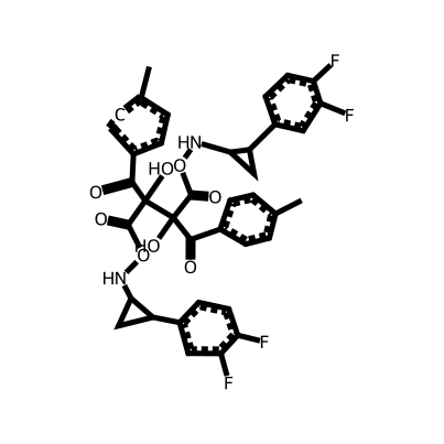 Cc1ccc(C(=O)C(O)(C(=O)ONC2CC2c2ccc(F)c(F)c2)C(O)(C(=O)ONC2CC2c2ccc(F)c(F)c2)C(=O)c2ccc(C)cc2)cc1